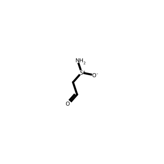 N[S+]([O-])CC=O